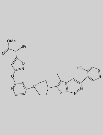 COC(=O)C(c1cc(Oc2nccc(N3CCC(c4sc5nnc(-c6ccccc6O)cc5c4C)CC3)n2)no1)C(C)C